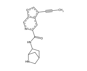 CC#Cc1coc2cnc(C(=O)NC3CC4CNC3C4)cc12